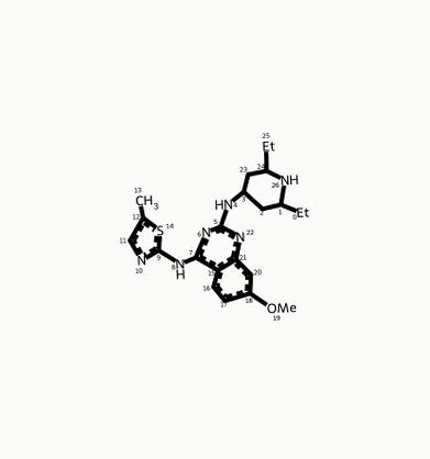 CCC1CC(Nc2nc(Nc3ncc(C)s3)c3ccc(OC)cc3n2)CC(CC)N1